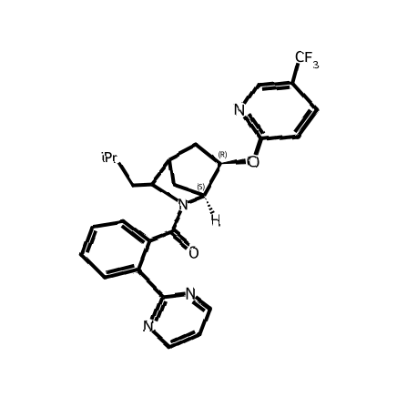 CC(C)CC1C2C[C@@H](Oc3ccc(C(F)(F)F)cn3)[C@H](C2)N1C(=O)c1ccccc1-c1ncccn1